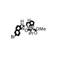 COC(=O)N[C@H](C(=O)N1[C@H](c2nc3c(ccc4cc(Br)ccc43)[nH]2)C[C@@H]2CCC[C@@H]21)C(C)C